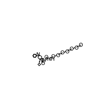 COCCOCCOCCOCCOCCOCCOCCNC(=O)CN1CC2(CCC(c3ccccc3)(N(C)C)CC2)N(CC2CCC2)C1=O